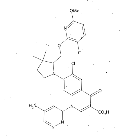 COc1ccc(Cl)c(OCC2N(c3cc4c(cc3Cl)c(=O)c(C(=O)O)cn4-c3cc(N)cnn3)CCC2(C)C)n1